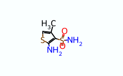 Cc1csc(N)c1S(N)(=O)=O